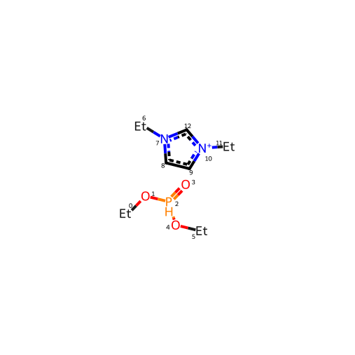 CCO[PH](=O)OCC.CCn1cc[n+](CC)c1